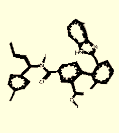 C=C(OI)c1cc(C(=O)N(I)C(CCC)c2ccc(C)cc2)ccc1-c1c(C)cccc1-c1nc2ccccc2[nH]1